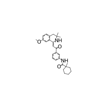 COc1ccc2c(c1)C(=CC(=O)c1cccc(NC(=O)C3(C)CCCCC3)c1)NC(C)(C)C2